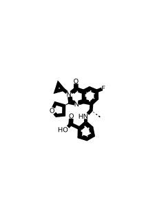 C[C@H](Nc1ccccc1C(=O)O)c1cc(F)cc2c(=O)n(C3CC3)c([C@@H]3CCOC3)nc12